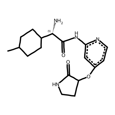 CC1CCC([C@H](N)C(=O)Nc2cc(OC3CCNC3=O)ccn2)CC1